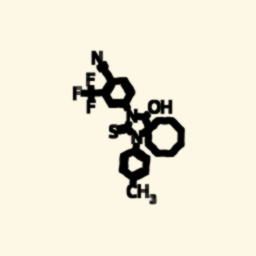 Cc1ccc(N2C(=S)N(c3ccc(C#N)c(C(F)(F)F)c3)C(O)C23CCCCCCC3)cc1